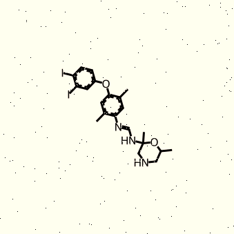 Cc1cc(Oc2ccc(I)c(I)c2)c(C)cc1/N=C/NC1(C)CNCC(C)O1